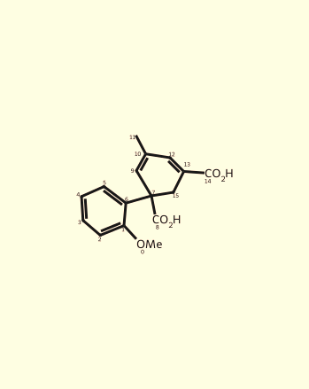 COc1ccccc1C1(C(=O)O)C=C(C)C=C(C(=O)O)C1